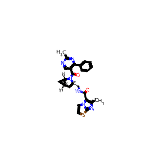 Cc1ncc(C(=O)N2[C@H](CNC(=O)c3c(C)nc4sccn34)C[C@@H]3C[C@@H]32)c(-c2ccccc2)n1